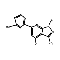 Cc1nn(C(C)C)c2nc(-c3cccc(O)c3)cc(Cl)c12